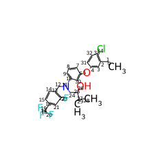 CCc1cc(Oc2cccc(N(Cc3ccc(C(F)(F)F)cc3F)CC(O)C(C)C)c2)ccc1Cl